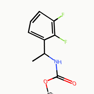 CC(NC(=O)OC(C)(C)C)c1cccc(F)c1F